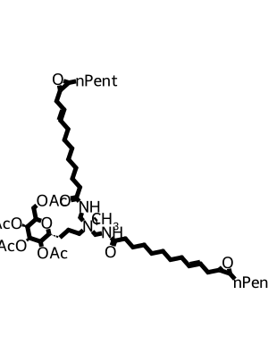 CCCCCC1OC1CC=CCCCCCCCC(=O)NC[N+](C)(CCC[C@H]1OC(COC(C)=O)[C@H](OC(C)=O)[C@H](OC(C)=O)C1OC(C)=O)CNC(=O)CCCCCCCC=CCC1OC1CCCCC